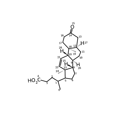 CC(CCC(=O)O)C1CC[C@H]2[C@@H]3CC[C@@H]4CC(=O)CC[C@]4(C)[C@H]3C=C[C@]12C